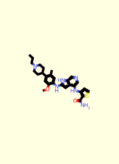 CCCN1CCC(c2cc(OC)c(Nc3cc4c(Nc5ccsc5C(N)=O)cncc4[nH]3)cc2C)CC1